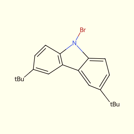 CC(C)(C)c1ccc2c(c1)c1cc(C(C)(C)C)ccc1n2Br